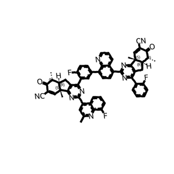 Cc1cc(-c2nc(-c3cc(-c4ccc(-c5nc(-c6ccccc6F)c6c(n5)[C@]5(C)C=C(C#N)C(=O)[C@H](C)[C@H]5C6)c5cccnc45)ccc3F)c3c(n2)[C@]2(C)C=C(C#N)C(=O)[C@H](C)[C@H]2C3)c2cccc(F)c2n1